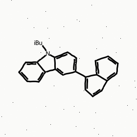 CCC(C)n1c2ccccc2c2cc(-c3cccc4ccccc34)ccc21